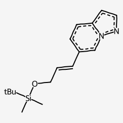 CC(C)(C)[Si](C)(C)OCC=Cc1ccc2ccnn2c1